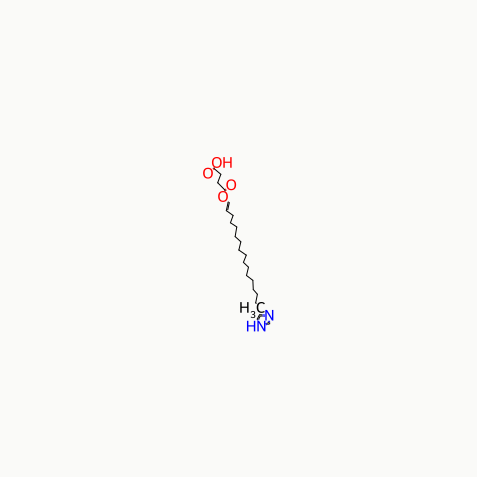 CCCCCCCCCCCCCCCC=COC(=O)CCC(=O)O.c1c[nH]cn1